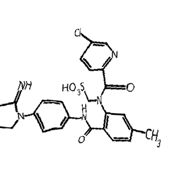 Cc1ccc(C(=O)Nc2ccc(N3CCOC3=N)cc2)c(N(CS(=O)(=O)O)C(=O)c2ccc(Cl)cn2)c1